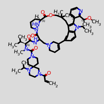 C=CC(=O)N1CCN(C(C)C)C2(CCN(C(=O)N(C)[C@H](C(=O)NC3CN4CCC=C(C4)c4ccc5c(c4)c(c(-c4cccnc4[C@H](C)OC)n5CC)CC(C)(C)COC(=O)[C@@H]4CCCN(N4)C3=O)C(C)C)CC2)C1